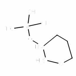 C[Si](C)(C)O[SiH]1CCCO[SiH2]1